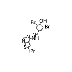 CC(C)c1cc2c(NN=Cc3cc(Br)c(O)c(Br)c3)ncnc2s1